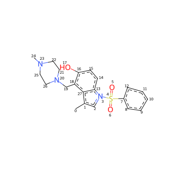 Cc1cn(S(=O)(=O)c2ccccc2)c2ccc(O)c(CN3CCN(C)CC3)c12